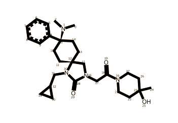 CN(C)[C@]1(c2ccccc2)CC[C@@]2(CC1)CN(CC(=O)N1CCC(C)(O)CC1)C(=O)N2CC1CC1